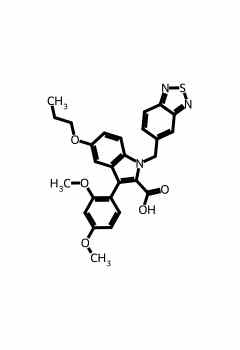 CCCOc1ccc2c(c1)c(-c1ccc(OC)cc1OC)c(C(=O)O)n2Cc1ccc2nsnc2c1